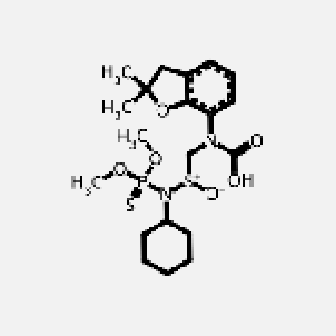 COP(=S)(OC)N(C1CCCCC1)[S+]([O-])CN(C(=O)O)c1cccc2c1OC(C)(C)C2